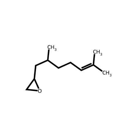 CC(C)=CCCC(C)CC1CO1